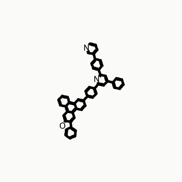 c1ccc(-c2cc(-c3ccc(-c4cccnc4)cc3)nc(-c3ccc(-c4ccc5c(c4)c4ccccc4c4cc6oc7ccccc7c6cc54)cc3)c2)cc1